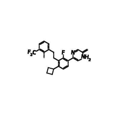 C=C(N)/C=N\C(=C/C)c1ccc(C2CCC2)c(CCc2cccc(C(F)(F)F)c2C)c1F